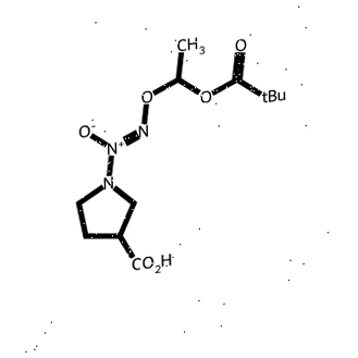 CC(ON=[N+]([O-])N1CCC(C(=O)O)C1)OC(=O)C(C)(C)C